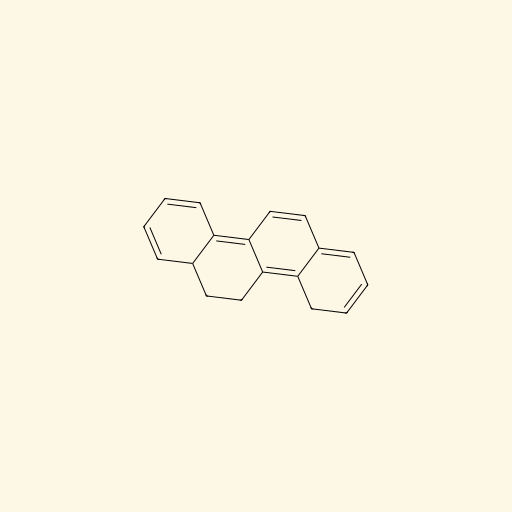 C1=CCc2c3c(ccc2=C1)=C1C=CC=CC1CC3